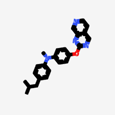 CC(C)Cc1ccc(N(C)c2ccc(Oc3ncc4ccncc4n3)cc2)cc1